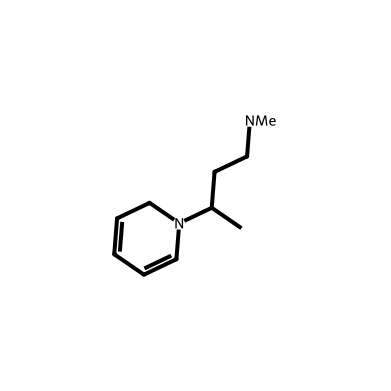 CNCCC(C)N1C=CC=CC1